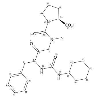 CN(CC(=O)C(Cc1ccccc1)NC(=O)NC1CCCCC1)C(=O)N1CCC[C@H]1C(=O)O